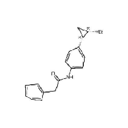 CC[C@H]1C[C@H]1c1ccc(NC(=O)Cc2ccccc2)cc1